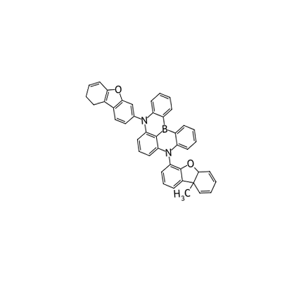 CC12C=CC=CC1Oc1c(N3c4ccccc4B4c5ccccc5N(c5ccc6c7c(oc6c5)C=CCC7)c5cccc3c54)cccc12